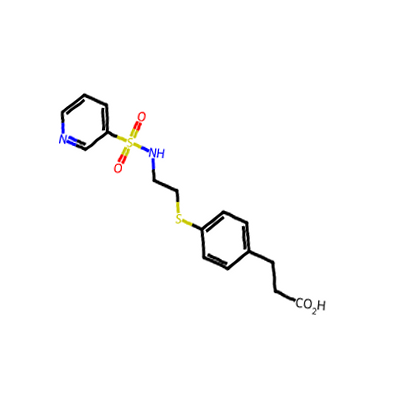 O=C(O)CCc1ccc(SCCNS(=O)(=O)c2cccnc2)cc1